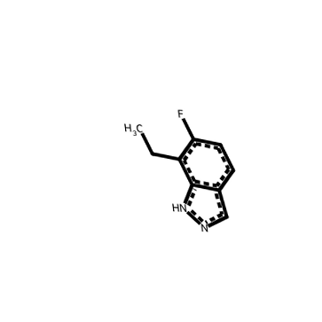 CCc1c(F)ccc2cn[nH]c12